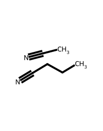 CC#N.CCCC#N